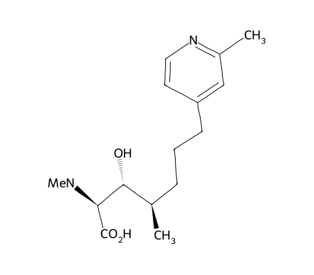 CN[C@H](C(=O)O)[C@H](O)[C@H](C)CCCc1ccnc(C)c1